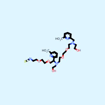 O=C(O)c1cccc(CN(CCO)CCOCCOCCN(CCO)C(COCCOCCN=C=S)c2cccc(C(=O)O)n2)n1